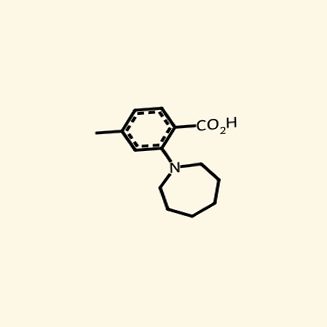 Cc1ccc(C(=O)O)c(N2CCCCCC2)c1